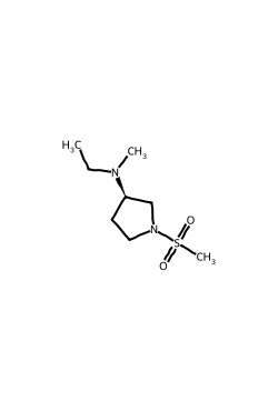 CCN(C)[C@@H]1CCN(S(C)(=O)=O)C1